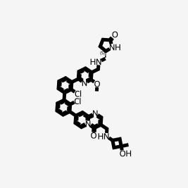 COc1nc(-c2cccc(-c3cccc(-c4ccn5c(=O)c(CNC6CC(C)(O)C6)cnc5c4)c3Cl)c2Cl)ccc1CNC[C@@H]1CCC(=O)N1